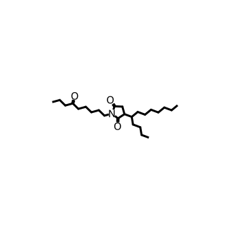 CCCCCCCC(CCCC)C1CC(=O)N(CCCCCC(=O)CCC)C1=O